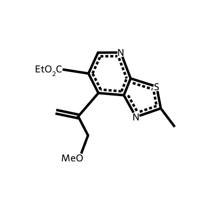 C=C(COC)c1c(C(=O)OCC)cnc2sc(C)nc12